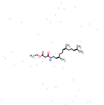 CCOC(=O)CC(=O)NCC=C(C)CCC=C(C)CCC=C(C)C